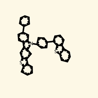 c1ccc(-c2ccc3c4cc5sc6ccccc6c5cc4n(-c4ccc(-c5cccc6c5sc5ccccc56)cc4)c3c2)cc1